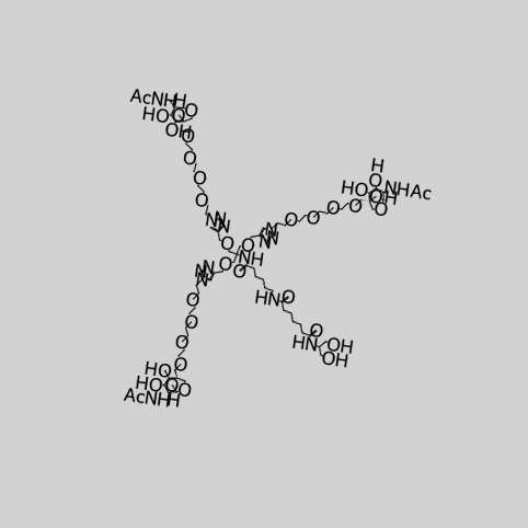 CC(=O)N[C@H]1[C@H]2OC[C@](COCCOCCOCCOCCn3cc(COCC(COCc4cn(CCOCCOCCOCCOC[C@@]56CO[C@@H](O5)[C@H](NC(C)=O)[C@@H](O)[C@H]6O)nn4)(COCc4cn(CCOCCOCCOCCOC[C@@]56CO[C@@H](O5)[C@H](NC(C)=O)[C@@H](O)[C@H]6O)nn4)NC(=O)CCCCCNC(=O)CCCCCC(=O)NC(CO)CO)nn3)(O2)[C@H](O)[C@@H]1O